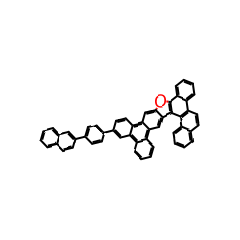 c1ccc2cc(-c3ccc(-c4ccc5c(c4)c4ccccc4c4cc6c(cc54)oc4c5ccccc5c5ccc7ccccc7c5c64)cc3)ccc2c1